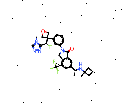 C[C@H](NC1(C)CCC1)c1cc2c(c(C(F)(F)F)c1)CN(c1cccc(C3([C@@H](F)c4nncn4C)COC3)c1)C2=O